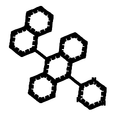 c1ccc2c(-c3c4ccccc4c(-c4ncncn4)c4ccccc34)cccc2c1